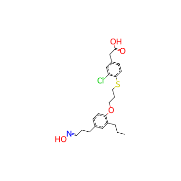 CCCc1cc(CCC=NO)ccc1OCCCSc1ccc(CC(=O)O)cc1Cl